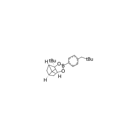 CC(C)(C)Cc1ccc(B2O[C@H]3C[C@H]4C[C@H](C4(C)C)[C@@]3(C(C)(C)C)O2)cc1